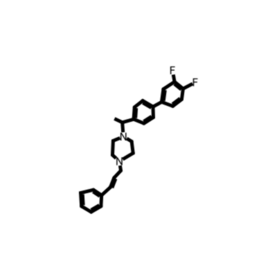 CC(c1ccc(-c2ccc(F)c(F)c2)cc1)N1CCN(CC=Cc2ccccc2)CC1